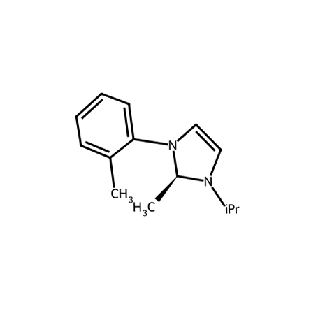 Cc1ccccc1N1C=CN(C(C)C)[C@H]1C